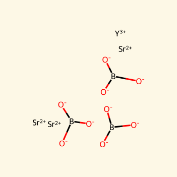 [O-]B([O-])[O-].[O-]B([O-])[O-].[O-]B([O-])[O-].[Sr+2].[Sr+2].[Sr+2].[Y+3]